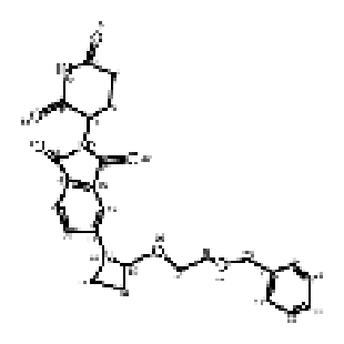 O=C1CCC(N2C(=O)c3ccc(N4CCC4OCCOCc4ccccc4)cc3C2=O)C(=O)N1